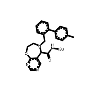 Cc1ccc(-c2ccccc2CN2CCOc3ncncc3C2C(=O)NC(C)(C)C)cc1